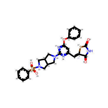 O=C1NC(=O)/C(=C/c2cc(Oc3ccccc3)nc(N3CC4CN(S(=O)(=O)c5ccccc5)CC4C3)n2)S1